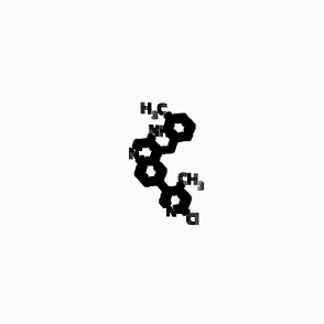 Cc1cccc(Cc2c(N)cnc3ccc(-c4cnc(Cl)cc4C)cc23)c1